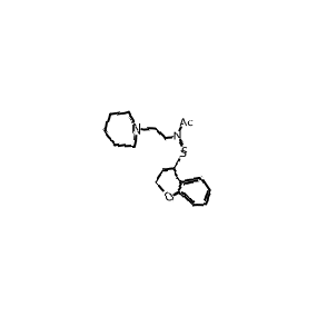 CC(=O)N(CCN1CCCCC1)SC1CCOc2ccccc21